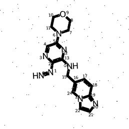 N=Nc1ncc(N2CCOCC2)nc1NCc1ccc2nccn2c1